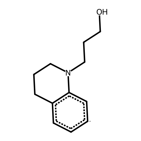 OCCCN1CCCc2cc[c]cc21